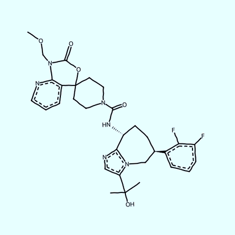 COCN1C(=O)OC2(CCN(C(=O)N[C@@H]3CC[C@@H](c4cccc(F)c4F)Cn4c(C(C)(C)O)cnc43)CC2)c2cccnc21